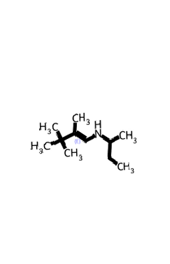 CCC(C)N/C=C(\C)C(C)(C)C